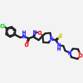 O=C(NCc1ccc(Cl)cc1)C1=NOC2(CCN(C(=S)NCCN3CCOCC3)CC2)C1